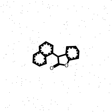 O=C1Oc2ccccc2C1c1cccc2ccccc12